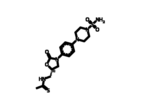 CC(=S)NC[C@H]1CN(c2ccc(N3CCN(S(N)(=O)=O)CC3)cc2)C(=O)O1